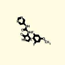 COc1cc(F)c([C@@H]2CNC(=O)C2NC(=O)Nc2cncnc2)c(F)c1